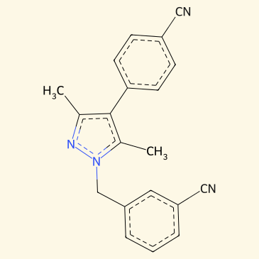 Cc1nn(Cc2cccc(C#N)c2)c(C)c1-c1ccc(C#N)cc1